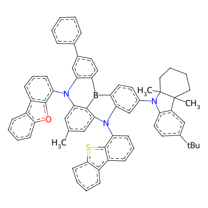 Cc1cc2c3c(c1)N(c1cccc4c1sc1ccccc14)c1cc(N4c5ccc(C(C)(C)C)cc5C5(C)CCCCC45C)ccc1B3c1ccc(-c3ccccc3)cc1N2c1cccc2c1oc1ccccc12